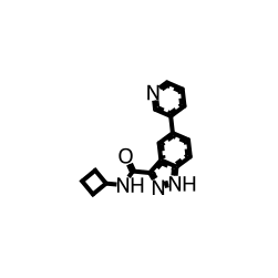 O=C(NC1CCC1)c1n[nH]c2ccc(-c3cccnc3)cc12